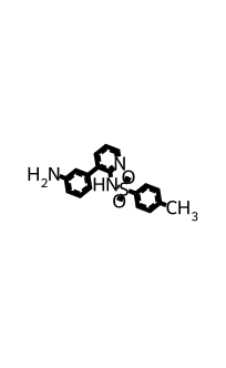 Cc1ccc(S(=O)(=O)Nc2ncccc2-c2cccc(N)c2)cc1